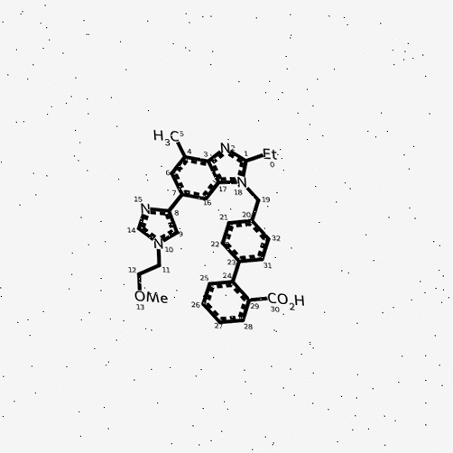 CCc1nc2c(C)cc(-c3cn(CCOC)cn3)cc2n1Cc1ccc(-c2ccccc2C(=O)O)cc1